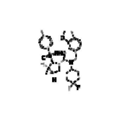 Cc1ccc(S(=N)(=O)N2[C@@H]3C[C@@H]3C[C@H]2C(=O)N(Cc2ccc3c(c2)OCC3)C2CCC(F)(F)CC2)cc1